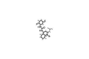 CC(C)Cn1cc(NC(=O)Nc2cc(F)ccc2F)c2ccccc2c1=O